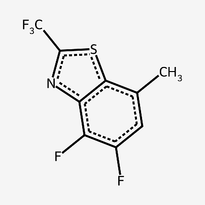 Cc1cc(F)c(F)c2nc(C(F)(F)F)sc12